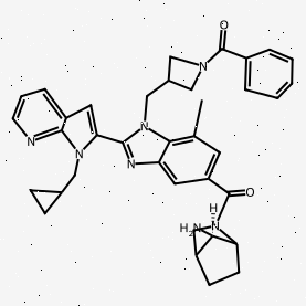 Cc1cc(C(=O)N2CC3CCC2[C@@H]3N)cc2nc(-c3cc4cccnc4n3CC3CC3)n(CC3CN(C(=O)c4ccccc4)C3)c12